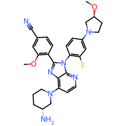 COc1cc(C#N)ccc1-c1nc2c(N3CCC[C@@H](N)C3)ccnc2n1-c1ccc(N2CC[C@H](OC)C2)cc1F